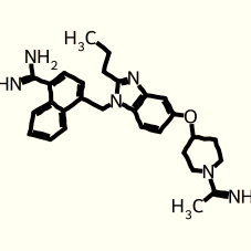 CCCc1nc2cc(OC3CCN(C(C)=N)CC3)ccc2n1Cc1ccc(C(=N)N)c2ccccc12